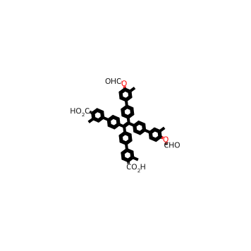 Cc1cc(-c2ccc(C(=C(c3ccc(-c4ccc(C(=O)O)c(C)c4)cc3)c3ccc(-c4ccc(C(=O)O)c(C)c4)cc3)c3ccc(-c4ccc(OC=O)c(C)c4)cc3)cc2)ccc1OC=O